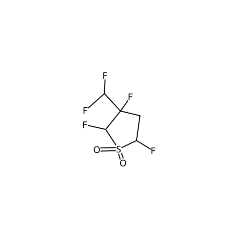 O=S1(=O)C(F)CC(F)(C(F)F)C1F